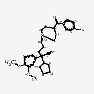 COc1ccc(C(C#N)(CCCN2CCC(C(=O)c3ccc(F)cc3)CC2)C2CCCC2)cc1OC